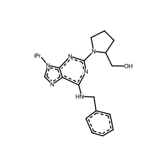 CC(C)n1cnc2c(NCc3ccccc3)nc(N3CCCC3CO)nc21